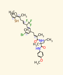 C/C=C(S)\C(CC)=C(\C)C/C=C/C(/C=C/C(/C=C(\C)Br)C/C=C(\C)C(=O)NC(C)(CCC)C(=O)Nc1ccc(OC)cc1)C(F)(F)F